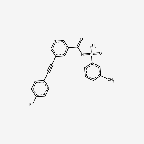 Cc1cccc(S(C)(=O)=NC(=O)c2cncc(C#Cc3ccc(Br)cc3)c2)c1